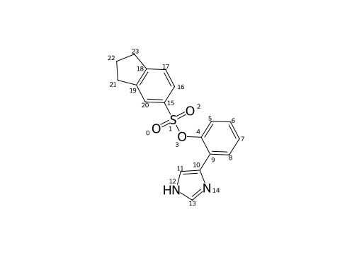 O=S(=O)(Oc1ccccc1-c1c[nH]cn1)c1ccc2c(c1)CCC2